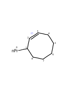 C[CH]CC1/C=C\CCCCC1